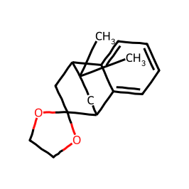 CC1(C)CC2c3ccccc3C1CC21OCCO1